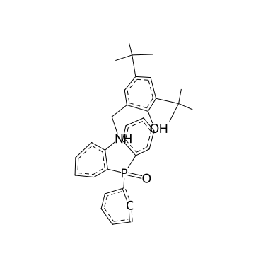 CC(C)(C)c1cc(CNc2ccccc2P(=O)(c2ccccc2)c2ccccc2)c(O)c(C(C)(C)C)c1